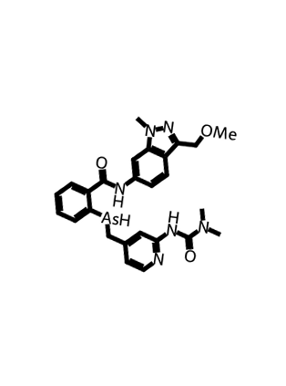 COCc1nn(C)c2cc(NC(=O)c3ccccc3[AsH]Cc3ccnc(NC(=O)N(C)C)c3)ccc12